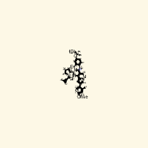 CCc1cc(O[Si](C)(C)C(C)(C)C)ccc1/N=C(\N)c1cnn2cc(-c3cnc(OC)cc3C)cc2c1NC[C@H]1CCCN1C(=O)C1CC1